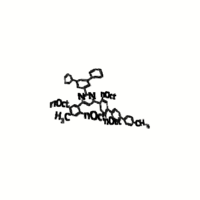 CCCCCCCCc1cc(-c2cc(-c3cc(CCCCCCCC)c(-c4ccc(-c5ccc(C)cc5)cc4)cc3CCCCCCCC)nc(-c3cc(-c4ccccc4)cc(-c4ccccc4)c3)n2)c(CCCCCCCC)cc1C